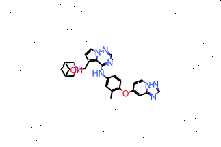 Cc1cc(Nc2ncnn3ccc(CN4CC5CC(C4)C5O)c23)ccc1Oc1ccn2ncnc2c1